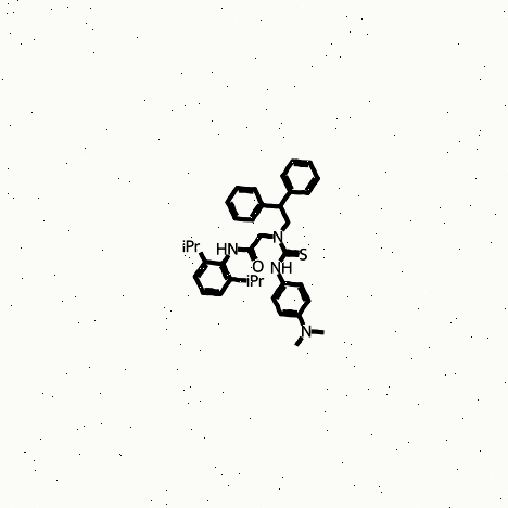 CC(C)c1cccc(C(C)C)c1NC(=O)CN(CC(c1ccccc1)c1ccccc1)C(=S)Nc1ccc(N(C)C)cc1